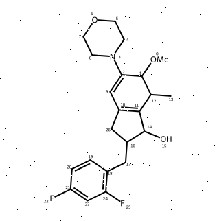 COC1C(N2CCOCC2)=CC2=C(C1C)C(O)C(Cc1ccc(F)cc1F)C2